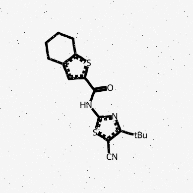 CC(C)(C)c1nc(NC(=O)c2cc3c(s2)CCCC3)sc1C#N